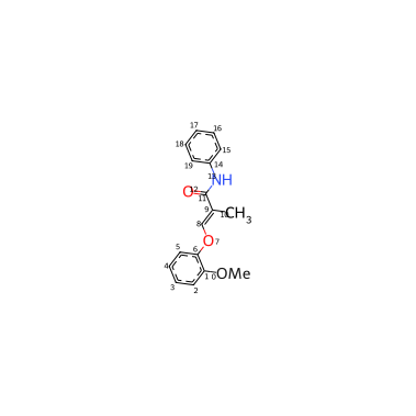 COc1ccccc1O/C=C(\C)C(=O)Nc1ccccc1